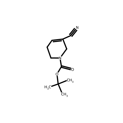 CC(C)(C)OC(=O)N1CCC=C(C#N)C1